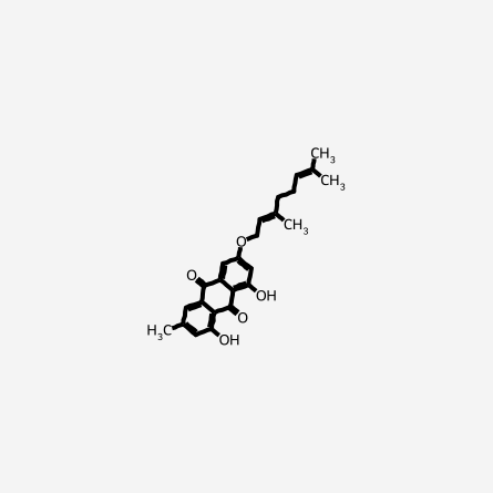 CC(C)=CCC/C(C)=C/COc1cc(O)c2c(c1)C(=O)c1cc(C)cc(O)c1C2=O